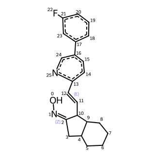 O/N=C1/CC2CCCCC2C1/C=C/c1ccc(-c2cccc(F)c2)cn1